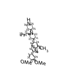 COc1ccc(-c2cn3cc(C4CCN(C5CCNCC5)[C@H](CC(C)C)C4)cc(C)c3n2)cc1OC